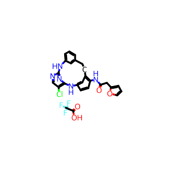 O=C(Cc1ccco1)Nc1ccc2cc1CCc1cccc(c1)Nc1ncc(Cl)c(n1)N2.O=C(O)C(F)(F)F